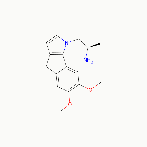 COc1cc2c(cc1OC)-c1c(ccn1C[C@@H](C)N)C2